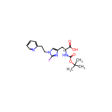 CC(C)(C)OC(=O)N[C@@H](Cc1cn(CCc2ccccn2)c(I)n1)C(=O)O